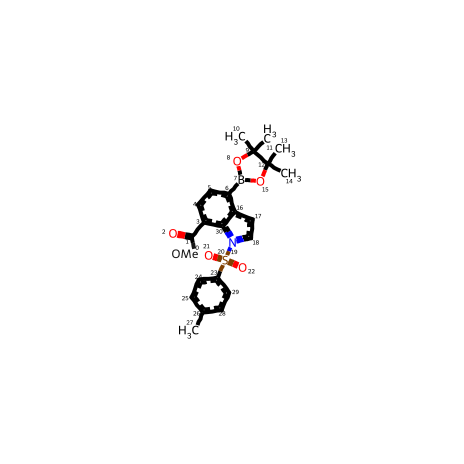 COC(=O)c1ccc(B2OC(C)(C)C(C)(C)O2)c2ccn(S(=O)(=O)c3ccc(C)cc3)c12